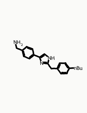 CCCCc1ccc(Cc2nc(-c3ccc(CN)cc3)c[nH]2)cc1